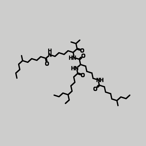 CCCCC(C)CCCCC(=O)NCCCCC(NC(=O)C(CCCCNC(=O)CCCCC(C)CCC)NC(=O)CCCCC(CC)CCC)C(=O)C(C)C